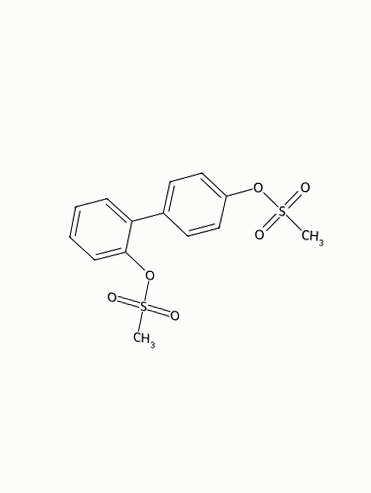 CS(=O)(=O)Oc1ccc(-c2ccccc2OS(C)(=O)=O)cc1